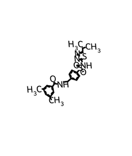 Cc1cc(C)cc(C(=O)NCCc2ccc(S(=O)(=O)Nc3nnc(C(C)C)s3)cc2)c1